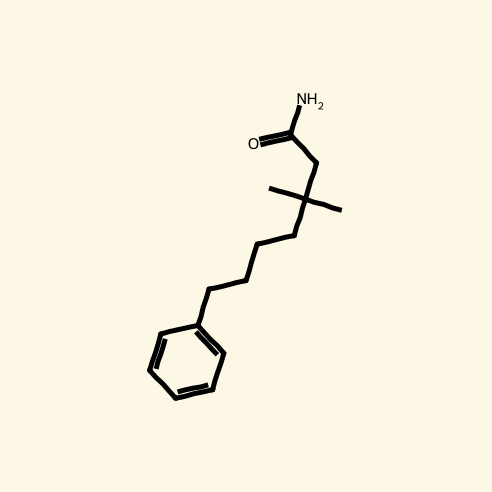 CC(C)(CCCCc1ccccc1)CC(N)=O